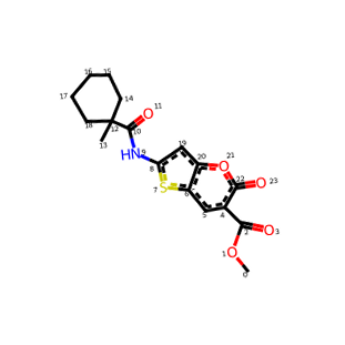 COC(=O)c1cc2sc(NC(=O)C3(C)CCCCC3)cc2oc1=O